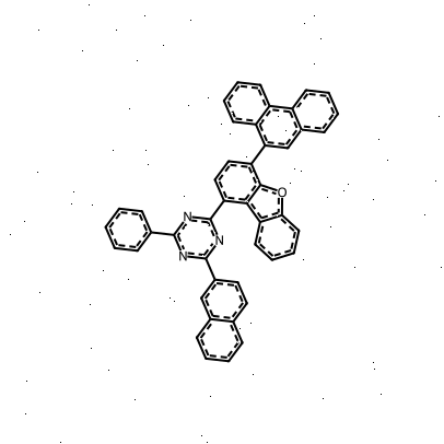 c1ccc(-c2nc(-c3ccc4ccccc4c3)nc(-c3ccc(-c4cc5ccccc5c5ccccc45)c4oc5ccccc5c34)n2)cc1